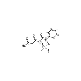 CS(=O)(=O)O[C@@H](C(=O)OC(=O)CC(=O)O)c1ccccc1